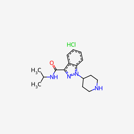 CC(C)NC(=O)c1nn(C2CCNCC2)c2ccccc12.Cl